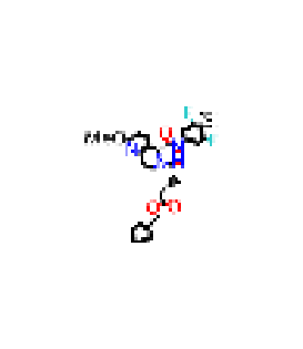 COc1ccc2c(n1)CCN(C(=O)[C@@H]1C[C@H]1CC(=O)OCc1ccccc1)[C@H]2C(=O)Nc1cc(F)c([Si](C)(C)C)c(F)c1